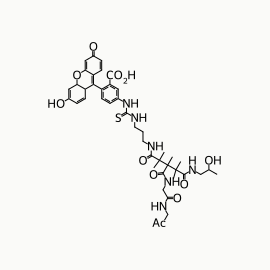 CC(=O)CNC(=O)CNC(=O)C(C)(C(C)(C)C(=O)NCCCNC(=S)Nc1ccc(C2=C3C=CC(=O)C=C3OC3C=C(O)C=CC23)c(C(=O)O)c1)C(C)(C)C(=O)NCC(C)O